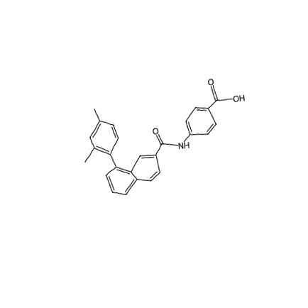 Cc1ccc(-c2cccc3ccc(C(=O)Nc4ccc(C(=O)O)cc4)cc23)c(C)c1